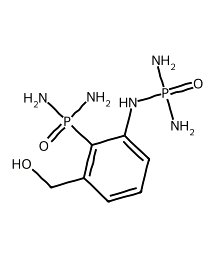 NP(N)(=O)Nc1cccc(CO)c1P(N)(N)=O